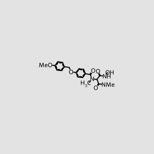 CNC(=O)C(C(=O)NO)N(C)C(=O)c1ccc(OCc2ccc(OC)cc2)cc1